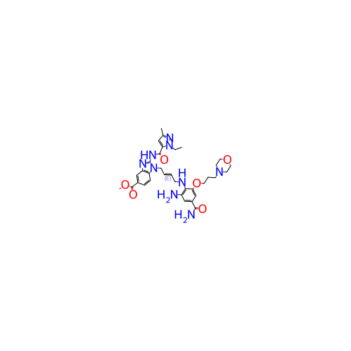 CCn1nc(C)cc1C(=O)Nc1nc2cc(C(=O)OC)ccc2n1C/C=C/CNc1c(N)cc(C(N)=O)cc1OCCCN1CCOCC1